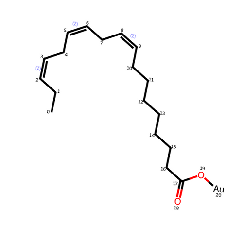 CC/C=C\C/C=C\C/C=C\CCCCCCCC(=O)[O][Au]